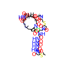 COc1cc2cc(c1Cl)N(C)C(=O)C[C@H](OC(=O)[C@H](C)N(C)C(=O)CCSC1CC(=O)N(CCC(=O)NCC(=O)NC(=O)NC(=O)NC(=O)NN3C(=O)CC(SC(C)C)C3=O)C1=O)C1(C)O[C@H]1[C@H](C)[C@@H]1C[C@@](O)(NC(=O)O1)[C@H](OC)/C=C/C=C(\C)C2